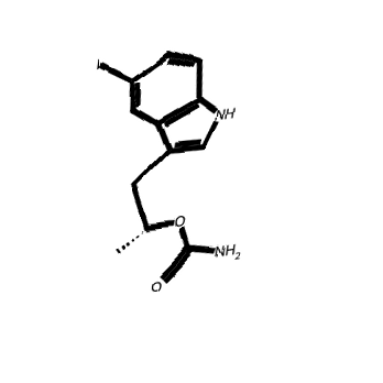 C[C@H](Cc1c[nH]c2ccc(I)cc12)OC(N)=O